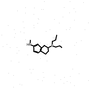 CCCN(CCC)C1CCc2ccc(NC)cc2C1